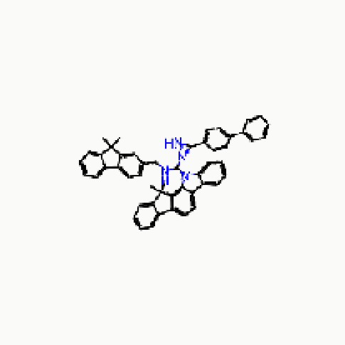 CC1(C)c2ccccc2-c2ccc(CNC(N3NC3c3ccc(-c4ccccc4)cc3)n3c4ccccc4c4ccc5c(c43)C(C)(C)c3ccccc3-5)cc21